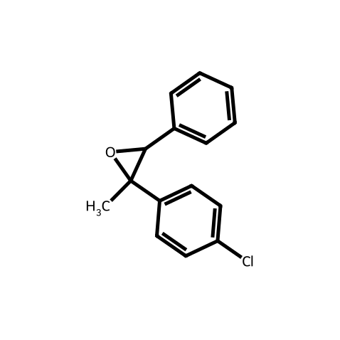 CC1(c2ccc(Cl)cc2)OC1c1ccccc1